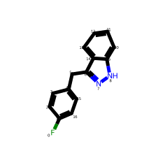 Fc1ccc(Cc2n[nH]c3c[c]ccc23)cc1